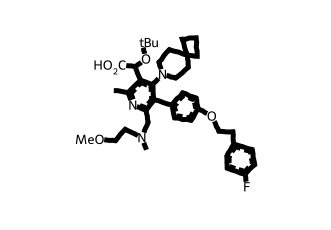 COCCN(C)Cc1nc(C)c(C(OC(C)(C)C)C(=O)O)c(N2CCC3(CCC3)CC2)c1-c1ccc(OCCc2ccc(F)cc2)cc1